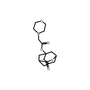 O=C(CN1CCOCC1)OC12CC3CC(C1)OC(=O)C(C3)C2